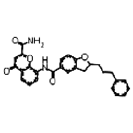 NC(=O)c1cc(=O)c2cccc(NC(=O)c3ccc4c(c3)CC(CCCc3ccccc3)O4)c2o1